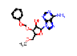 COCC1OC(n2cnc3c(N)ncnc32)C(O)C1OCOc1ccccc1